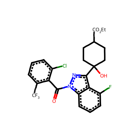 CCOC(=O)C1CCC(O)(c2nn(C(=O)c3c(Cl)cccc3C(F)(F)F)c3cccc(F)c23)CC1